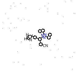 CC1(c2ccc(-c3cc(-c4cccc(C#N)c4)cc(-c4nc(-c5cccc6ccccc56)nc(-c5cccc6ccccc56)n4)c3)cc2)C[C@H]2C[C@@H]3C[C@@H](C1)C32